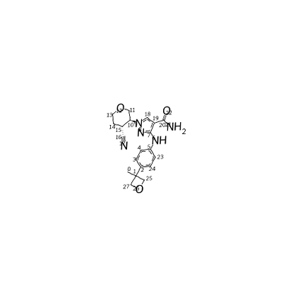 CC1(c2ccc(Nc3nn([C@@H]4COCC[C@H]4C#N)cc3C(N)=O)cc2)COC1